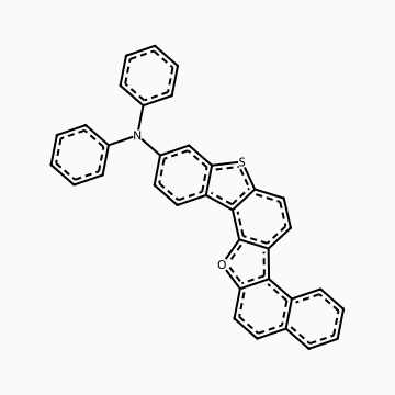 c1ccc(N(c2ccccc2)c2ccc3c(c2)sc2ccc4c(oc5ccc6ccccc6c54)c23)cc1